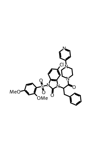 COc1ccc(S(=O)(=O)n2c(=O)n(C(Cc3ccccc3)C(=O)N3CCN(c4ccncc4)CC3)c3cc(Cl)ccc32)c(OC)c1